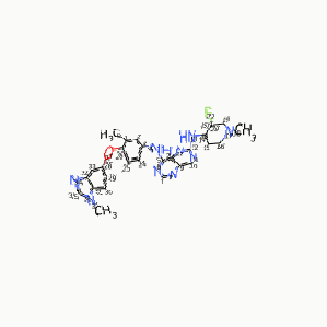 Cc1cc(Nc2ncnc3cnc(N[C@@H]4CCN(C)C[C@@H]4F)nc23)ccc1Oc1ccc2c(c1)ncn2C